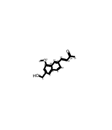 COc1cc(CO)cc2ccc(/C=C/C(C)=O)cc12